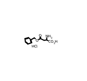 Cl.NC(CC(=O)OCc1ccccc1)C(=O)O